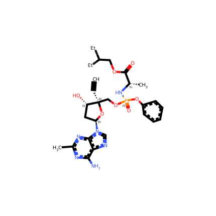 C#C[C@]1(CO[P@@](=O)(N[C@@H](C)C(=O)OCC(CC)CC)Oc2ccccc2)O[C@@H](n2cnc3c(N)nc(C)nc32)C[C@@H]1O